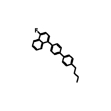 CCCCc1ccc(-c2ccc(-c3ccc(F)c4ccccc34)cc2)cc1